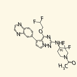 CC(=O)N1CC[C@@H](Nc2nc(OCC(F)F)c3c(-c4ccc5nccnc5c4)ccn3n2)C(F)(F)C1